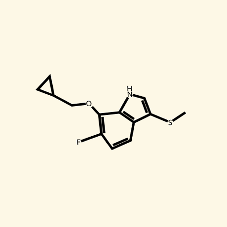 CSc1c[nH]c2c(OCC3CC3)c(F)ccc12